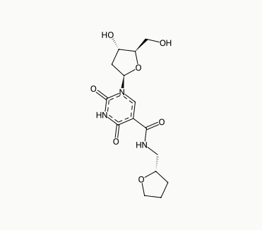 O=C(NC[C@@H]1CCCO1)c1cn([C@H]2C[C@H](O)[C@@H](CO)O2)c(=O)[nH]c1=O